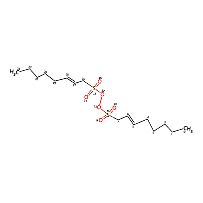 CCCCCC=CCS(=O)(=O)OOS(=O)(=O)CC=CCCCCC